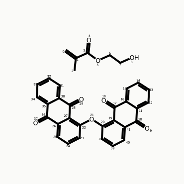 C=C(C)C(=O)OCCO.O=C1c2ccccc2C(=O)c2c(Oc3cccc4c3C(=O)c3ccccc3C4=O)cccc21